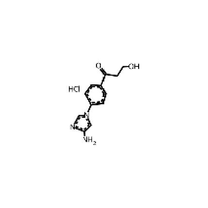 Cl.Nc1cn(-c2ccc(C(=O)CCO)cc2)cn1